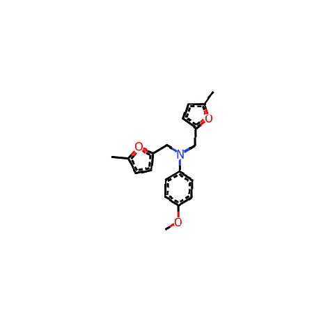 COc1ccc(N(Cc2ccc(C)o2)Cc2ccc(C)o2)cc1